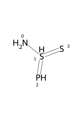 N[SH](=P)=S